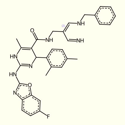 CC1=C(C(=O)NC/C(C=N)=C/NCc2ccccc2)C(c2ccc(C)cc2C)N=C(Nc2nc3ccc(F)cc3o2)N1